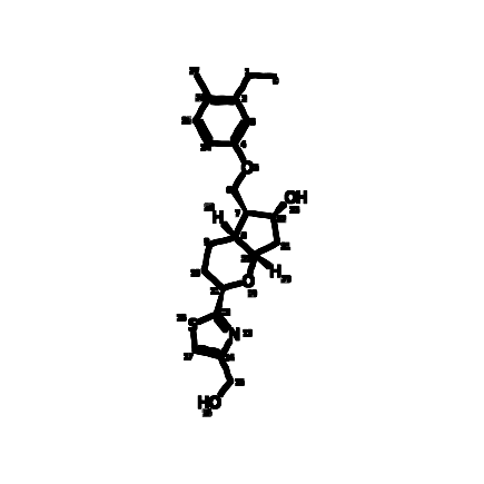 CCc1cc(OC[C@@H]2[C@H]3CC[C@H](c4nc(CO)cs4)O[C@H]3C[C@@H]2O)ccc1C